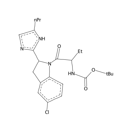 CCCc1cnc(C2Cc3cc(Cl)ccc3N2C(=O)C(CC)NC(=O)OC(C)(C)C)[nH]1